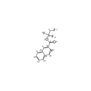 O=C(OC(F)(F)CF)c1cc2ccccc2cn1